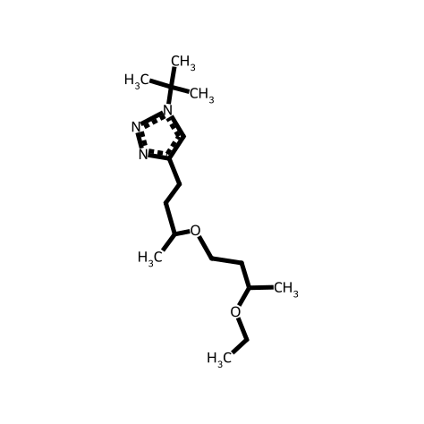 CCOC(C)CCOC(C)CCc1cn(C(C)(C)C)nn1